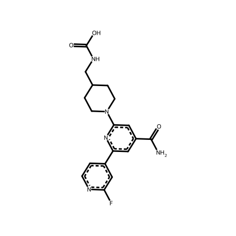 NC(=O)c1cc(-c2ccnc(F)c2)nc(N2CCC(CNC(=O)O)CC2)c1